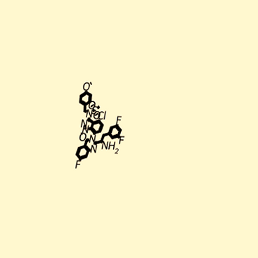 COc1ccc(CN(c2nn(C)c3c(-n4c(C(N)Cc5cc(F)cc(F)c5)nc5cc(F)ccc5c4=O)ccc(Cl)c23)S(C)(=O)=O)cc1